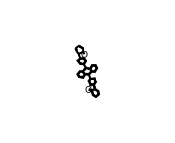 C1=CC2Oc3cc(-c4c5ccccc5c(-c5ccc6c(c5)oc5ccccc56)c5ccccc45)ccc3C2C=C1